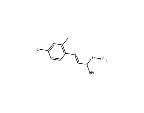 CCCN(C=Nc1ccc(Cl)cc1C)SC(Cl)(Cl)Cl